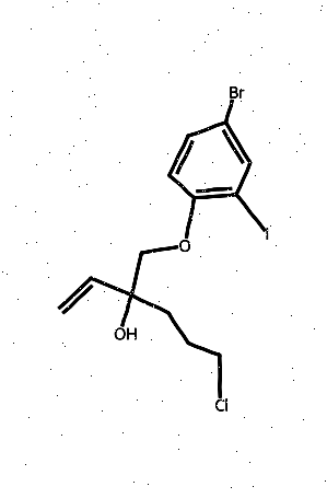 C=CC(O)(CCCCl)COc1ccc(Br)cc1I